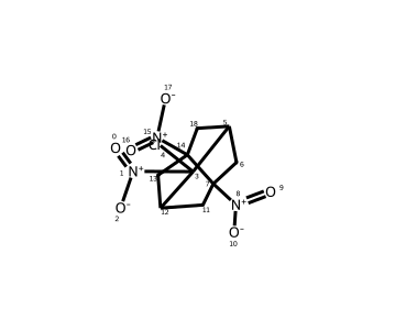 O=[N+]([O-])C1(Cl)C2CC3([N+](=O)[O-])CC1CC3([N+](=O)[O-])C2